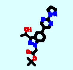 CC(O)c1nn(CC(=O)OC(C)(C)C)c2ccc(-c3cnc(-n4cccn4)nc3)cc12